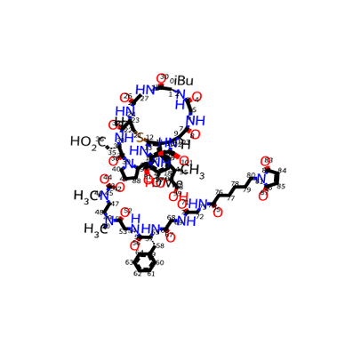 CC[C@H](C)[C@H]1NC(=O)CNC(=O)[C@@H]2Cc3c([nH]c4cc(OC)ccc34)SC[C@H](NC(=O)CNC1=O)C(=O)N[C@@H](CC(=O)O)C(=O)N1C[C@@H](OC(=O)N(C)CCN(C)C(=O)CNC(=O)[C@@H](Cc3ccccc3)NC(=O)CNC(=O)CNC(=O)CCCCCN3C(=O)C=CC3=O)CC1C(=O)NC([C@@H](C)[C@@H](O)CO)C(=O)N2